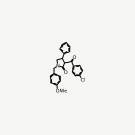 COc1ccc(CN2CC(c3ccccc3)C(C(=O)c3ccc(Cl)cc3)C2=O)cc1